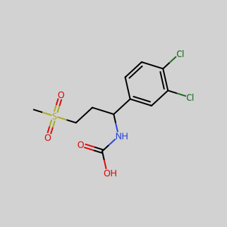 CS(=O)(=O)CCC(NC(=O)O)c1ccc(Cl)c(Cl)c1